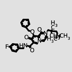 CN(C)CC(C)(C)Cn1ccn2cc(C(=O)NCc3ccc(F)cc3)c(=O)c(OCc3ccccc3)c2c1=O